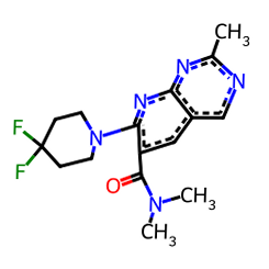 Cc1ncc2cc(C(=O)N(C)C)c(N3CCC(F)(F)CC3)nc2n1